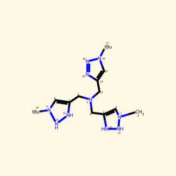 CN1C=C(CN(CC2=CN(C(C)(C)C)NN2)Cc2cn(C(C)(C)C)nn2)NN1